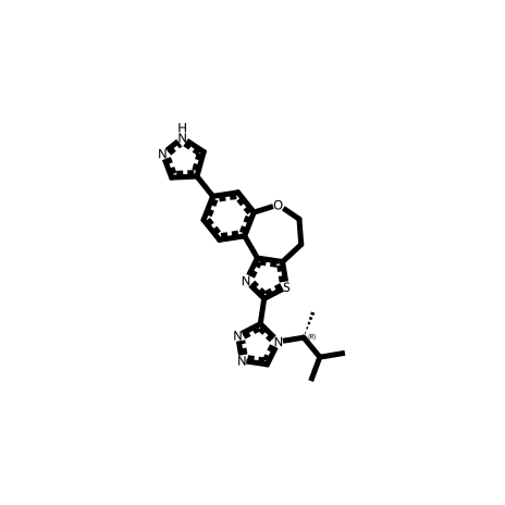 CC(C)[C@@H](C)n1cnnc1-c1nc2c(s1)CCOc1cc(-c3cn[nH]c3)ccc1-2